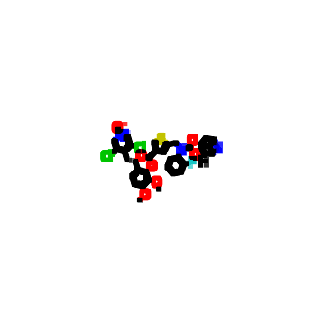 COc1ccc([C@H](Cc2c(Cl)c[n+]([O-])cc2Cl)OC(=O)c2csc(CN(C(=O)O[C@H]3CN4CCC3CC4)c3ccccc3F)c2)cc1OC